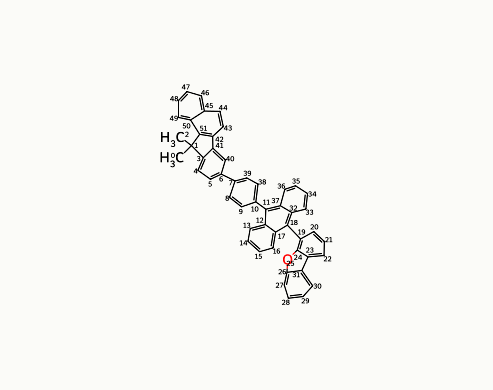 CC1(C)c2ccc(-c3ccc(-c4c5ccccc5c(-c5cccc6c5oc5ccccc56)c5ccccc45)cc3)cc2-c2ccc3ccccc3c21